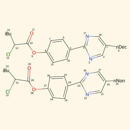 CCCCCCCCCCc1cnc(-c2ccc(OC(=O)C(Cl)C(C)CC)cc2)nc1.CCCCCCCCCc1cnc(-c2ccc(OC(=O)C(Cl)C(C)CC)cc2)nc1